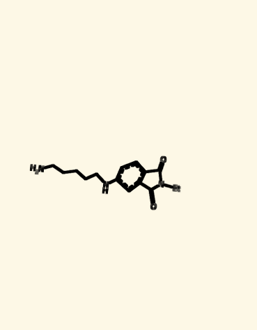 CCN1C(=O)c2ccc(NCCCCCN)cc2C1=O